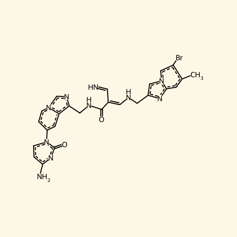 Cc1cc2nc(CN/C=C(\C=N)C(=O)NCc3ncn4ccc(-n5ccc(N)nc5=O)cc34)cn2cc1Br